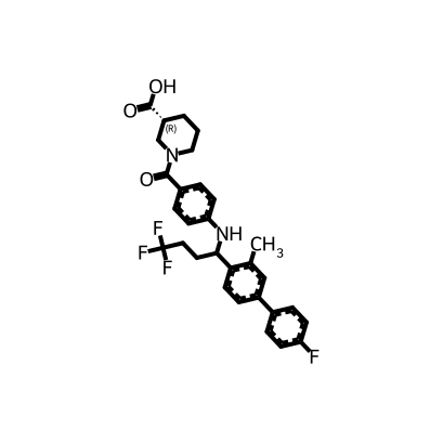 Cc1cc(-c2ccc(F)cc2)ccc1C(CCC(F)(F)F)Nc1ccc(C(=O)N2CCC[C@@H](C(=O)O)C2)cc1